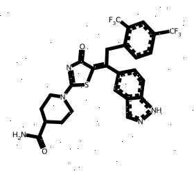 NC(=O)C1CCN(C2=NC(=O)C(=C(Cc3ccc(C(F)(F)F)cc3C(F)(F)F)c3ccc4[nH]ncc4c3)S2)CC1